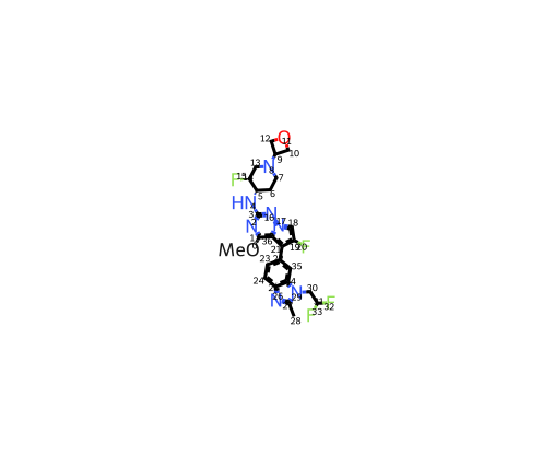 COc1nc(N[C@H]2CCN(C3COC3)C[C@@H]2F)nn2cc(F)c(-c3ccc4nc(C)n(CC(F)F)c4c3)c12